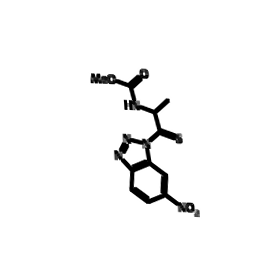 COC(=O)NC(C)C(=S)n1nnc2ccc([N+](=O)[O-])cc21